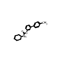 Cc1ccc(-c2cccc(OC(=O)NC3CCCCC3)c2)cc1